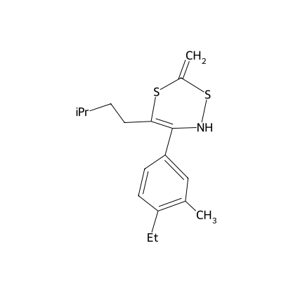 C=C1SNC(c2ccc(CC)c(C)c2)=C(CCC(C)C)S1